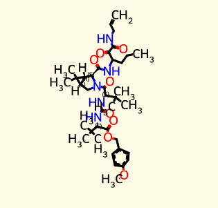 C=CCNC(=O)C(=O)C(CCC)NC(=O)[C@@H]1[C@@H]2[C@H](CN1C(=O)[C@@H](NC(=O)N[C@H](C(=O)OCc1ccc(OC)cc1)C(C)(C)C)C(C)(C)C)C2(C)C